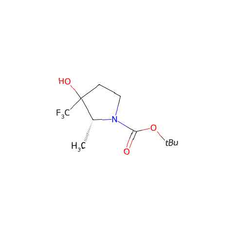 C[C@H]1N(C(=O)OC(C)(C)C)CCC1(O)C(F)(F)F